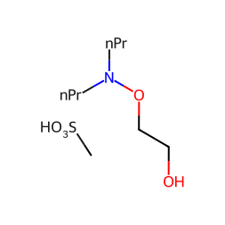 CCCN(CCC)OCCO.CS(=O)(=O)O